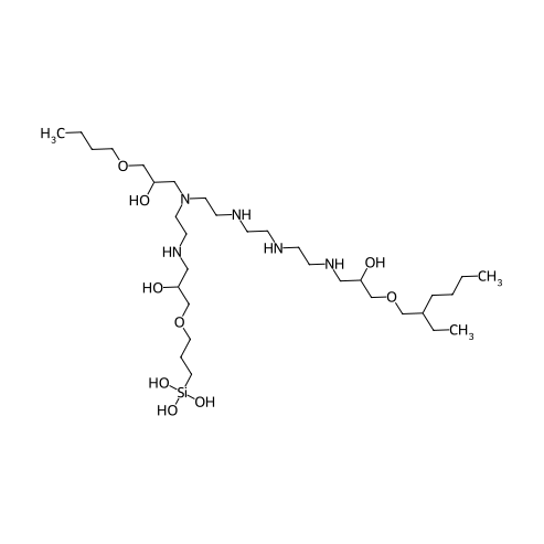 CCCCOCC(O)CN(CCNCCNCCNCC(O)COCC(CC)CCCC)CCNCC(O)COCCC[Si](O)(O)O